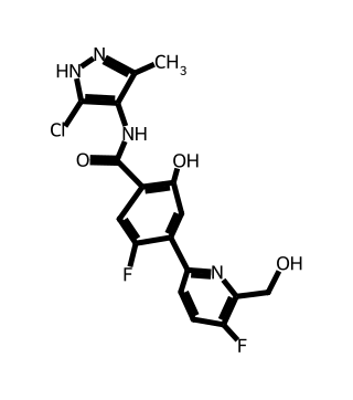 Cc1n[nH]c(Cl)c1NC(=O)c1cc(F)c(-c2ccc(F)c(CO)n2)cc1O